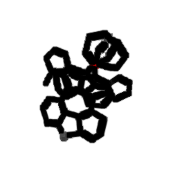 CC1CC=Cc2c1c(-c1cccc3oc4cccc(-c5c6ccccc6c(-c6ccccc6)c6ccccc56)c4c13)c1ccccc1c2-c1cccnc1